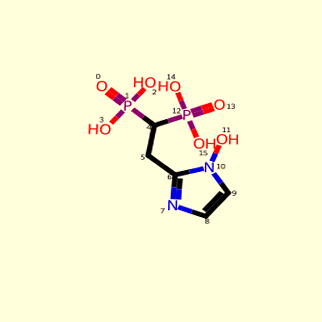 O=P(O)(O)C(Cc1nccn1O)P(=O)(O)O